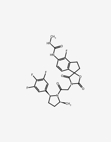 CNC(=O)Nc1ccc2c(c1F)CCC21OC(=O)N(CC(=O)N2[C@@H](C)CC[C@H]2c2cc(F)c(F)c(F)c2)C1=O